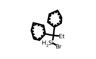 CCC([SiH2]Br)(c1ccccc1)c1ccccc1